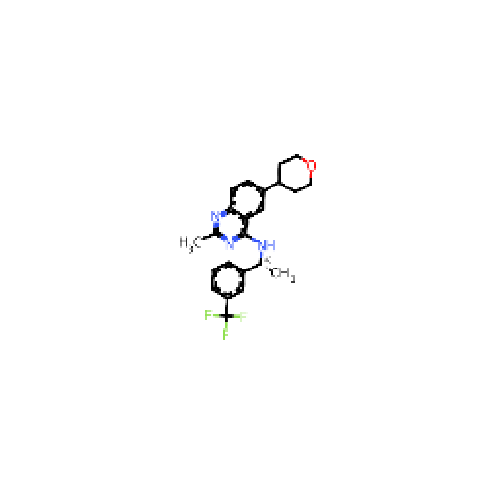 Cc1nc(N[C@H](C)c2cccc(C(F)(F)F)c2)c2cc(C3CCOCC3)ccc2n1